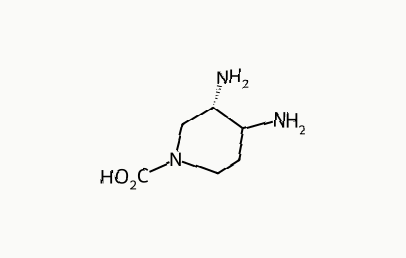 NC1CCN(C(=O)O)C[C@@H]1N